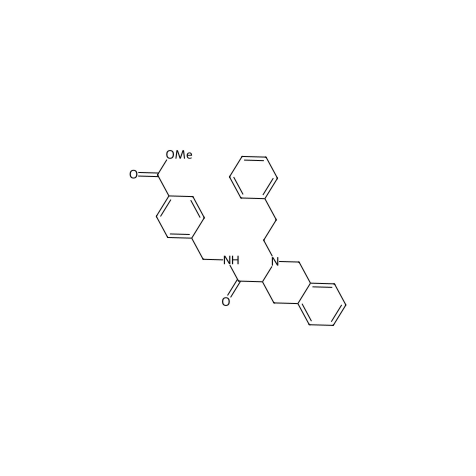 COC(=O)c1ccc(CNC(=O)C2Cc3ccccc3CN2CCc2ccccc2)cc1